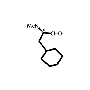 CN[C@@H]([C]=O)CC1CCCCC1